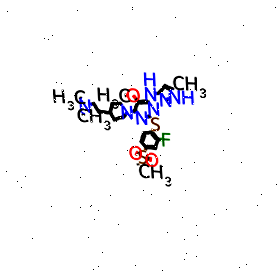 CCS(=O)(=O)c1ccc(Sc2nc(Nc3cc(C)[nH]n3)c(OC)c(N3CCC(CCN(C)C)CC3)n2)c(F)c1